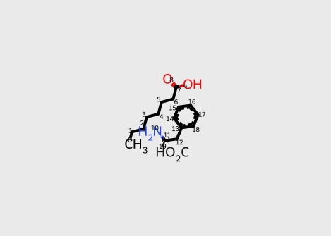 CCCCCCCC(=O)O.N[C@@H](Cc1ccccc1)C(=O)O